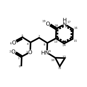 CC(=O)OC(C=O)CC(NC1CC1)c1ccc[nH]c1=O